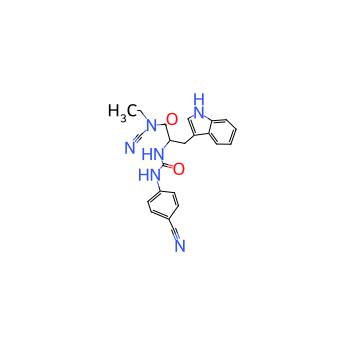 CCN(C#N)C(=O)C(Cc1c[nH]c2ccccc12)NC(=O)Nc1ccc(C#N)cc1